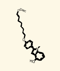 CCCCCCCCCCCCCCCCCCOc1ccc(-c2cc3c(O)cccc3n2C)cc1